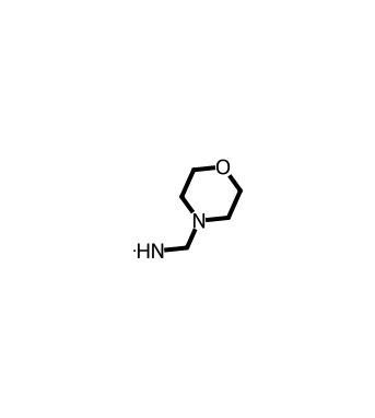 [NH]CN1CCOCC1